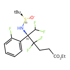 CCOC(=O)CCC(F)(F)[C@](N[S@+]([O-])C(C)(C)C)(c1ccccc1F)C(F)F